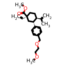 C=C[C@]1(C(=O)OC)CC[C@@H](C(=C)C)[C@H](c2ccc(COCCOC)cc2)C1